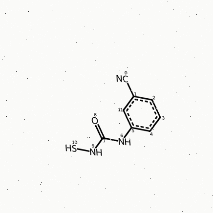 N#Cc1cccc(NC(=O)NS)c1